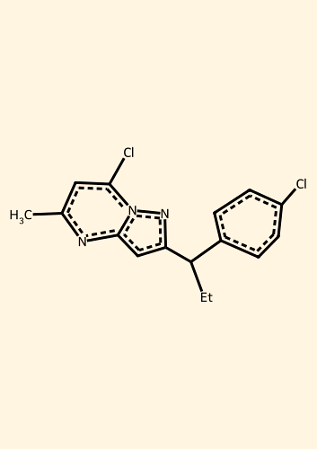 CCC(c1ccc(Cl)cc1)c1cc2nc(C)cc(Cl)n2n1